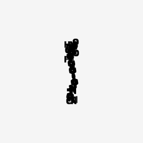 Cc1c(-c2ccc(C#N)c(Cl)c2)nn(Cc2ccc(C#CC3CCN(C4CCN(c5cc6c(cc5F)C(=O)N(C5CCC(=O)NC5=O)C6=O)CC4)CC3)cc2)c1C